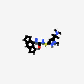 CN(C)C(C)(C)c1cc(SNC(=O)Nc2c3c(cc4c2CCC4)CCC3)nn1C